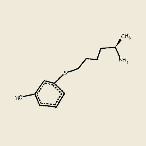 C[C@@H](N)CCCCSc1cccc(O)c1